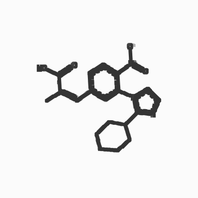 CC(=Cc1ccc([N+](=O)[O-])c(-n2ccnc2C2CCCCC2)c1)C(=O)O